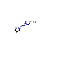 O=[C]CNCCN1CCCC1